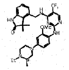 CCN1CCN(c2ccc(Nc3ncc(C(F)(F)F)c(NCc4cccc5c4C(C)(C)C(=O)N5)n3)c(OC)c2)C[C@H]1C